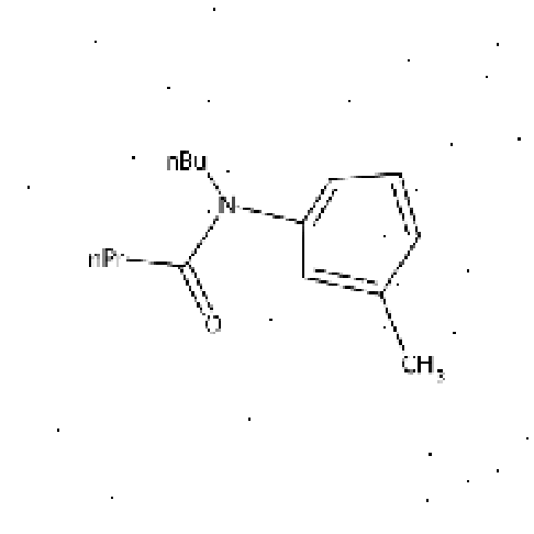 CCCCN(C(=O)CCC)c1cccc(C)c1